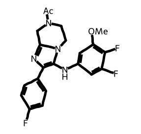 COc1cc(Nc2c(-c3ccc(F)cc3)nc3n2CCN(C(C)=O)C3)cc(F)c1F